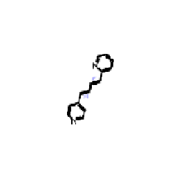 C(/C=C/c1ccccn1)=C\c1ccncc1